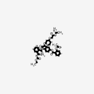 CCOC(=O)/N=C(\N)c1ccccc1C(=O)NC1=CC=C(OC(=O)c2ccccc2OC(C)=O)CC1(C(=O)CC)N1CCC(OCC(=O)OC(C)C)CC1